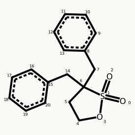 O=S1(=O)OCCC1(Cc1ccccc1)Cc1ccccc1